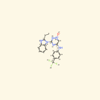 CCc1nc2ccccc2n1-c1nc(Nc2ccc(C(F)(F)F)cc2)c[n+]([O-])n1